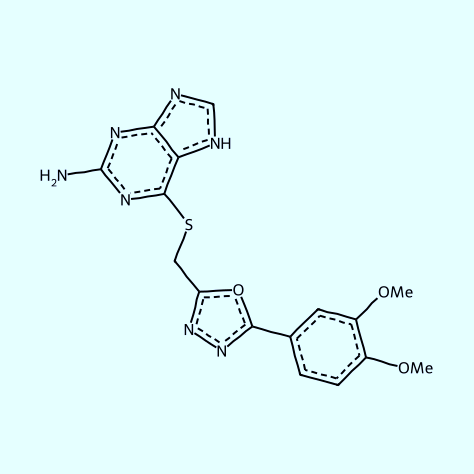 COc1ccc(-c2nnc(CSc3nc(N)nc4nc[nH]c34)o2)cc1OC